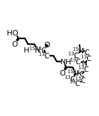 C[15N]1[13CH2][13CH2]N([13CH2][13CH]2[13CH2][13CH2][13CH2][15N]2CC(=O)NCC[13CH2][13C](=O)[15NH]CCCC(=O)O)[13CH2][13CH2]1